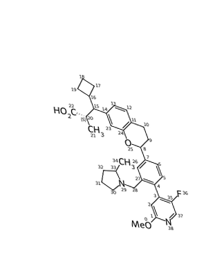 COc1cc(-c2ccc(C3CCc4ccc(C(C5CCC5)[C@H](C)C(=O)O)cc4O3)cc2CN2CCCC2C)c(F)cn1